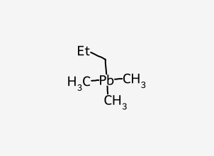 CC[CH2][Pb]([CH3])([CH3])[CH3]